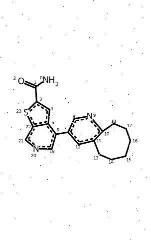 NC(=O)c1cc2c(-c3cnc4c(c3)CCCCCC4)cncc2s1